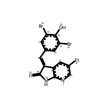 CCc1cnc2c(c1)/C(=C\c1cc(Br)c(O)c(Br)c1)C(=O)N2